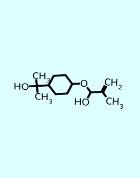 C=C(C)C(O)OC1CCC(C(C)(C)O)CC1